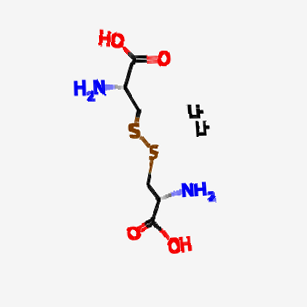 N[C@@H](CSSC[C@H](N)C(=O)O)C(=O)O.[Li].[Li]